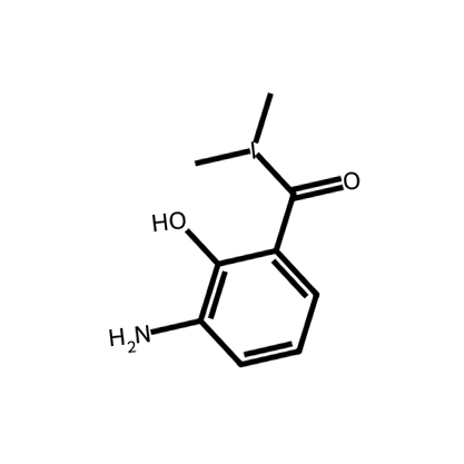 CI(C)C(=O)c1cccc(N)c1O